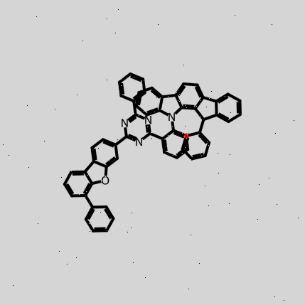 c1ccc(-c2nc(-c3ccc4c(c3)oc3c(-c5ccccc5)cccc34)nc(-c3ccccc3-n3c4ccccc4c4ccc5c(c43)C(c3ccccc3)c3ccccc3-5)n2)cc1